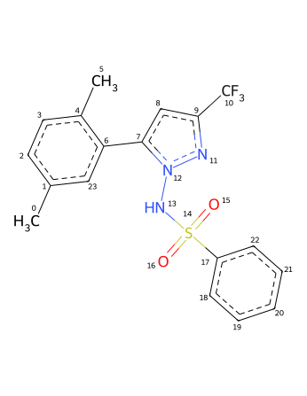 Cc1ccc(C)c(-c2cc(C(F)(F)F)nn2NS(=O)(=O)c2ccccc2)c1